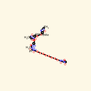 COc1cc2c(cc1OCCCOc1cc3c(cc1OC)C(=O)N1C=C(C)C[C@H]1[C@H](O)N3C(=O)OCc1ccc(NC(=O)[C@H](C)NC(=O)[C@@H](NC(=O)CCOCCOCCOCCOCCOCCOCCOCCOCCNC(=O)CCN3C(=O)C=CC3=O)C(C)C)cc1)N=CC1CC(C)=CN1C2=O